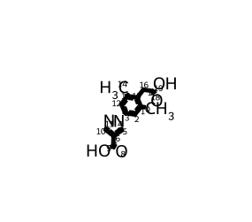 Cc1cc(-n2cc(C(=O)O)cn2)cc(C)c1CC(=O)O